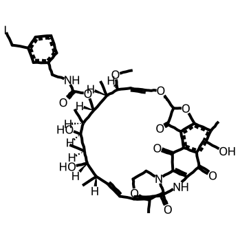 CO[C@H]1/C=C/O[C@@]2(C)Oc3c(C)c(O)c4c(c3C2=O)C(=O)C(N2CCOCC2)=C(NC(=O)/C(C)=C\C=C\[C@H](C)[C@H](O)[C@@H](C)[C@@H](O)[C@@H](C)[C@H](OC(=O)NCc2cccc(CI)c2)[C@@H]1C)C4=O